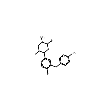 CCCc1ccc(Cc2cc(C3CC(CC)C(N)CC3C)ccc2Cl)cc1